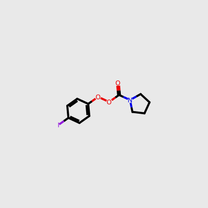 O=C(OOc1ccc(I)cc1)N1CCCC1